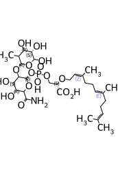 CC(C)=CCC/C(C)=C/CC/C(C)=C\CO[C@@H](COP(=O)(O)O[C@H]1OC(C(N)=O)[C@H](O)[C@H](O)C1O[C@@H]1OC(O)[C@@H](O)[C@H](O)C1C)C(=O)O